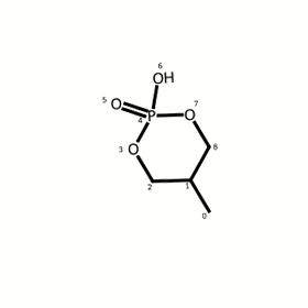 CC1COP(=O)(O)OC1